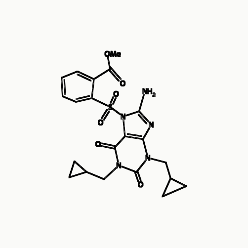 COC(=O)c1ccccc1S(=O)(=O)n1c(N)nc2c1c(=O)n(CC1CC1)c(=O)n2CC1CC1